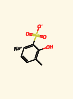 Cc1cccc(S(=O)(=O)[O-])c1O.[Na+]